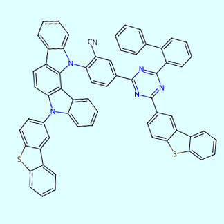 N#Cc1cc(-c2nc(-c3ccc4sc5ccccc5c4c3)nc(-c3ccccc3-c3ccccc3)n2)ccc1-n1c2ccccc2c2ccc3c(c4ccccc4n3-c3ccc4sc5ccccc5c4c3)c21